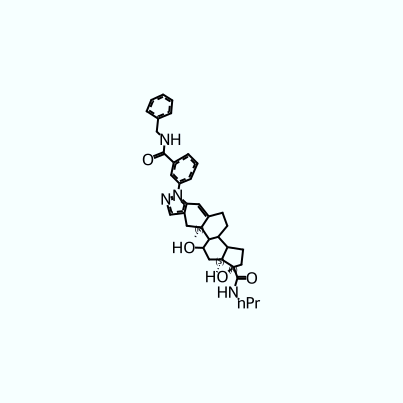 CCCNC(=O)[C@@]1(O)CCC2C3CCC4=Cc5c(cnn5-c5cccc(C(=O)NCc6ccccc6)c5)C[C@]4(C)C3C(O)C[C@@]21C